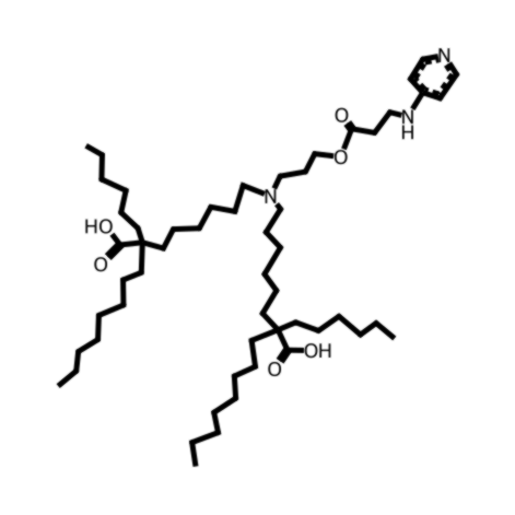 CCCCCCCCC(CCCCCC)(CCCCCCN(CCCCCCC(CCCCCC)(CCCCCCCC)C(=O)O)CCCOC(=O)CCNc1ccncc1)C(=O)O